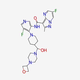 Cc1nn2cc(F)cnc2c1C(=O)Nc1cncc(F)c1N1CCC(C(O)N2CCN(C3COC3)CC2)CC1